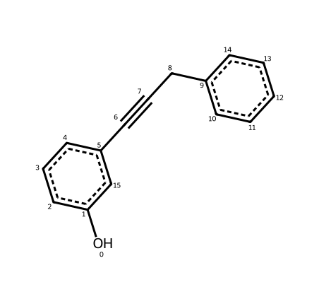 Oc1cccc(C#CCc2ccccc2)c1